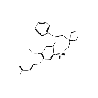 CCC1(CC)CN(c2ccccc2)C2CC(SC)=C(O/C=C/C(=O)O)C=C2S(=O)(=O)C1